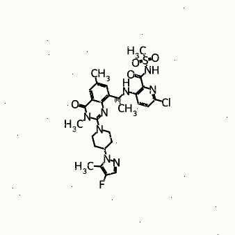 Cc1cc([C@@H](C)Nc2ccc(Cl)nc2C(=O)NS(C)(=O)=O)c2nc(N3CCC(n4ncc(F)c4C)CC3)n(C)c(=O)c2c1